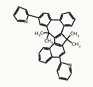 CC1(C)C2=C(c3ccccc3-c3ccc(-c4ccccn4)cc31)C(C)(C)c1cc(-c3ccccn3)c3ccccc3c12